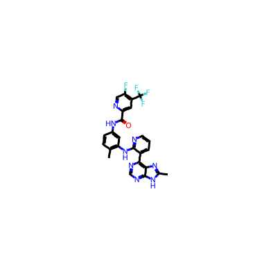 Cc1nc2c(-c3cccnc3Nc3cc(NC(=O)c4cc(C(F)(F)F)c(F)cn4)ccc3C)ncnc2[nH]1